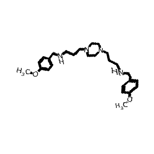 COc1ccc(CNCCCN2CCN(CCCNCc3ccc(OC)cc3)CC2)cc1